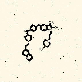 Cc1c(C)n(CCCN2CCN(C)CC2)c2ccc(Cc3ccc(C(=O)N4CCN(CCc5ccc6ncccc6c5)CC4)cc3)cc12